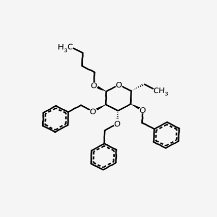 CCCCO[C@H]1O[C@H](CC)[C@@H](OCc2ccccc2)[C@H](OCc2ccccc2)[C@H]1OCc1ccccc1